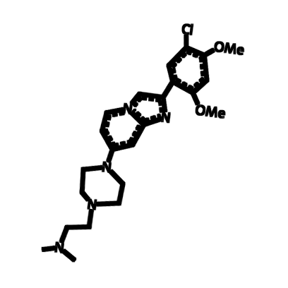 COc1cc(OC)c(-c2cn3ccc(N4CCN(CCN(C)C)CC4)cc3n2)cc1Cl